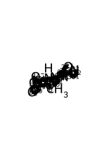 COc1cc(N2CCOCC2)c([N+](=O)[O-])cc1Nc1nccc(-n2cc(C=O)c(-c3cccnc3)n2)n1